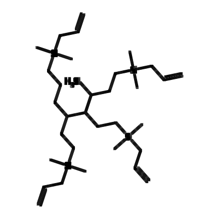 C=CC[Si](C)(C)CCCC(CC[Si](C)(C)CC=C)C(CC[Si](C)(C)CC=C)C([SiH3])CC[Si](C)(C)CC=C